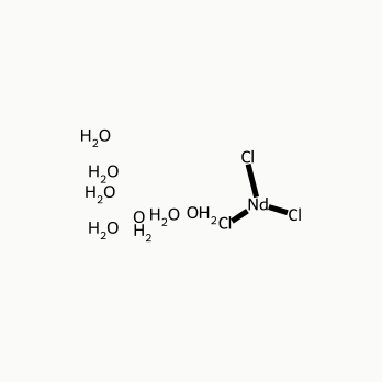 O.O.O.O.O.O.O.[Cl][Nd]([Cl])[Cl]